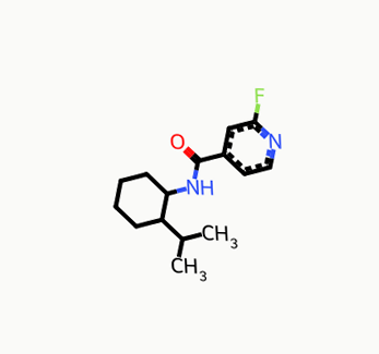 CC(C)C1CCCCC1NC(=O)c1ccnc(F)c1